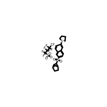 O=S(=O)([O-])C(F)(F)C(F)(F)C(F)(F)C(F)(F)F.O=S(=O)(c1ccc2cc([S+]3CCCC3)ccc2c1)C1CC2CCC1C2